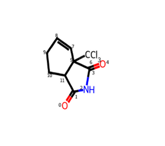 O=C1NC(=O)C2(C(Cl)(Cl)Cl)C=CCCC12